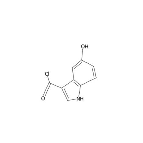 O=C(Cl)c1c[nH]c2ccc(O)cc12